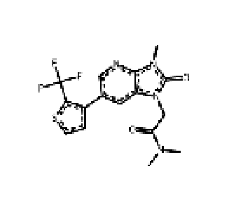 CN(C)C(=O)Cn1c(=O)n(C)c2ncc(-c3ccsc3C(F)(F)F)cc21